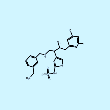 CCc1cccc(CNCC(c2csc(NS(C)(=O)=O)n2)C(N)Cc2cc(F)cc(F)c2)c1